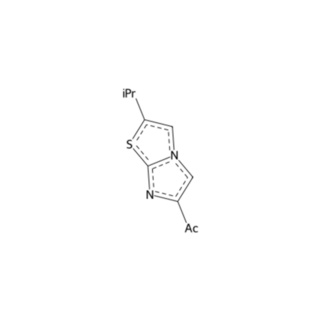 CC(=O)c1cn2cc(C(C)C)sc2n1